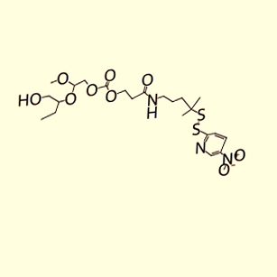 CCC(CO)OC(COC(=O)OCCC(=O)NCCCC(C)(C)SSc1ccc([N+](=O)[O-])cn1)OC